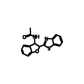 CC(=O)NC1c2ccccc2OC1c1nc2ccccc2s1